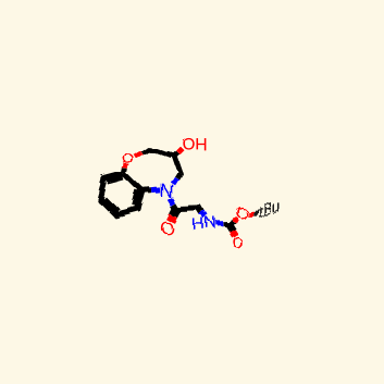 CC(C)(C)OC(=O)NCC(=O)N1CC(O)COc2ccccc21